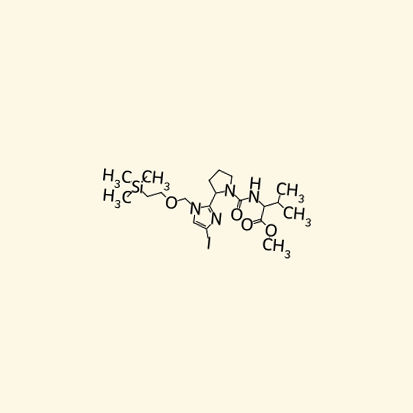 COC(=O)C(NC(=O)N1CCCC1c1nc(I)cn1COCC[Si](C)(C)C)C(C)C